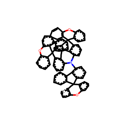 C1=CC2=C(CC1)C1(c3ccccc3O2)c2ccccc2-c2c(N(c3cccc4c3-c3ccccc3C43c4ccccc4Oc4ccccc43)c3cccc4c3-c3ccccc3C43c4ccccc4Oc4ccccc43)cccc21